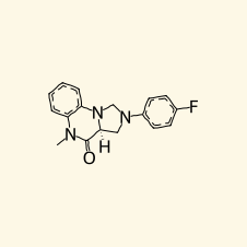 CN1C(=O)[C@@H]2CN(c3ccc(F)cc3)CN2c2ccccc21